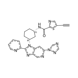 C#Cc1cnc(C(=O)N[C@H]2CCC[C@@H](n3c(-c4ccccn4)nc4cnc(-n5cncn5)cc43)C2)s1